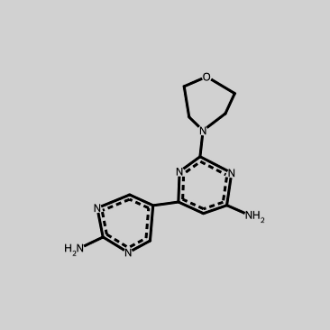 Nc1cc(-c2cnc(N)nc2)nc(N2CCOCC2)n1